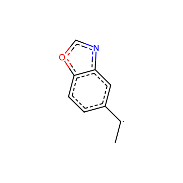 C[CH]c1ccc2ocnc2c1